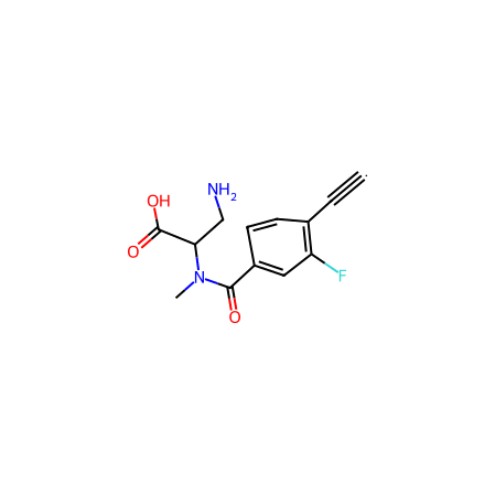 [C]#Cc1ccc(C(=O)N(C)C(CN)C(=O)O)cc1F